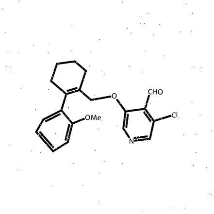 COc1ccccc1C1=C(COc2cncc(Cl)c2C=O)CCCC1